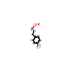 ON=[C]Cc1ccc(Cl)cc1